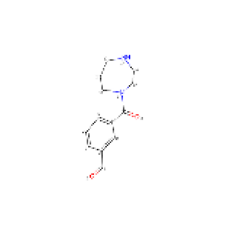 O=Cc1cccc(C(=O)N2CCCNCC2)c1